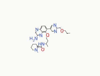 CCCOCc1ncc(-c2ccc3ncc(N)nc3c2OCCC(C)NC(=O)[C@@H]2CCCCN2C)cn1